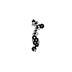 CC(C)(C)OC(=O)N[C@@H](Cc1ccccc1)C(=O)OCOC(=O)O[C@H]1CC[C@@]2(C)C(=CC[C@@H]3[C@@H]2CC[C@]2(C)C(c4cccnc4)=CC[C@@H]32)C1